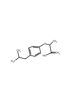 C=C(O)C(C)Oc1ccc(CC(C)C)cc1